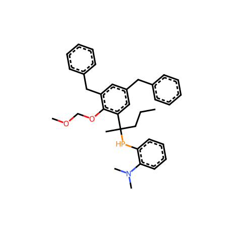 CCCC(C)(Pc1ccccc1N(C)C)c1cc(Cc2ccccc2)cc(Cc2ccccc2)c1OCOC